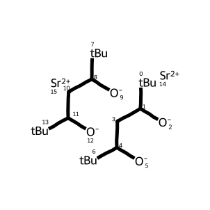 CC(C)(C)C([O-])CC([O-])C(C)(C)C.CC(C)(C)C([O-])CC([O-])C(C)(C)C.[Sr+2].[Sr+2]